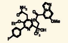 CCOc1c(CC(N)=O)cc([C@@](O)(CNC(=O)c2cc(OC)cc3nccn23)C(F)(F)F)nc1-c1ccc(F)cc1